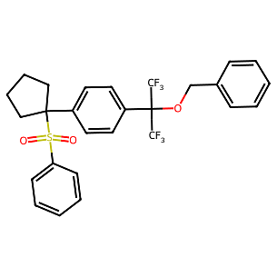 O=S(=O)(c1ccccc1)C1(c2ccc(C(OCc3ccccc3)(C(F)(F)F)C(F)(F)F)cc2)CCCC1